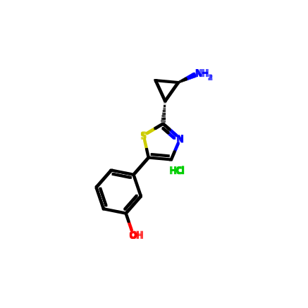 Cl.N[C@@H]1C[C@H]1c1ncc(-c2cccc(O)c2)s1